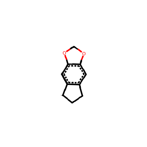 [CH]1CCc2cc3c(cc21)OCO3